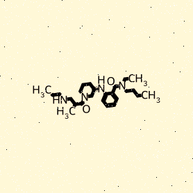 CCCCN(CC)C(=O)c1ccccc1N[C@@H]1CCCN(C(=O)C(C)CNCCC)C1